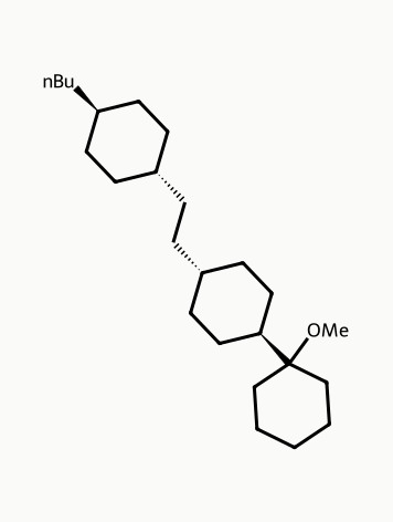 CCCC[C@H]1CC[C@H](CC[C@H]2CC[C@H](C3(OC)CCCCC3)CC2)CC1